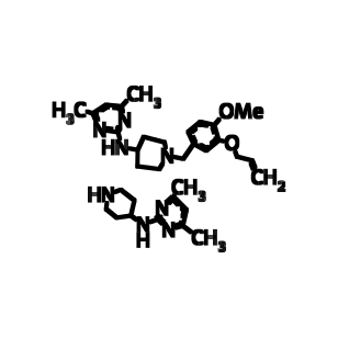 C=CCOc1cc(CN2CCC(Nc3nc(C)cc(C)n3)CC2)ccc1OC.Cc1cc(C)nc(NC2CCNCC2)n1